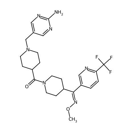 CON=C(c1ccc(C(F)(F)F)nc1)C1CCN(C(=O)C2CCN(Cc3cnc(N)nc3)CC2)CC1